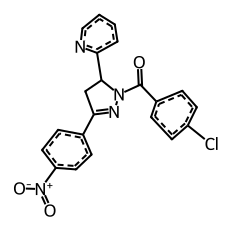 O=C(c1ccc(Cl)cc1)N1N=C(c2ccc([N+](=O)[O-])cc2)CC1c1ccccn1